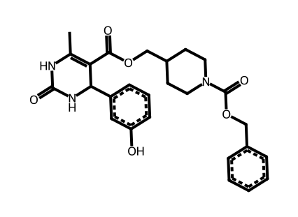 CC1=C(C(=O)OCC2CCN(C(=O)OCc3ccccc3)CC2)C(c2cccc(O)c2)NC(=O)N1